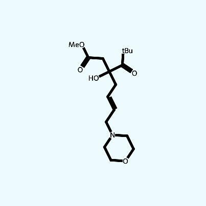 COC(=O)CC(O)(C/C=C/CN1CCOCC1)C(=O)C(C)(C)C